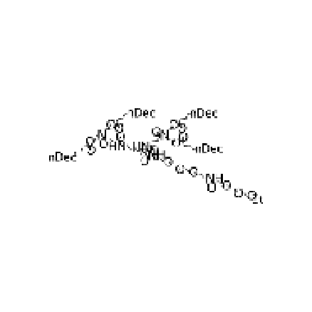 CCCCCCCCCCCCCC(=O)OCCN(CCOC(=O)CCCCCCCCCCCCC)C(=O)CCC(=O)NCCCC[C@H](NC(=O)CCC(=O)N(CCOC(=O)CCCCCCCCCCCCC)CCOC(=O)CCCCCCCCCCCCC)C(=O)NCCCOCCOCCOCCCNC(=O)CCOCCOCCOCC